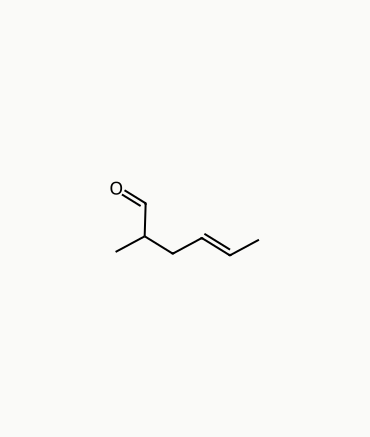 C/C=C/CC(C)C=O